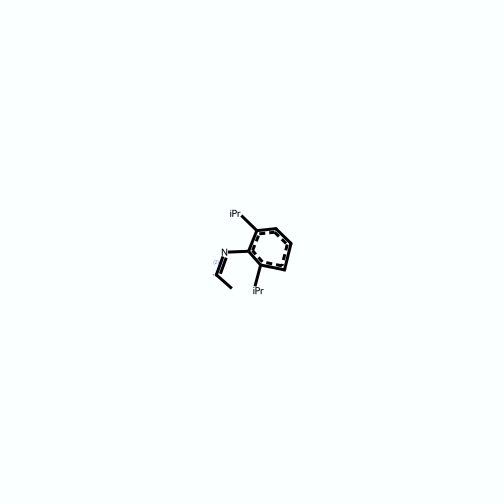 C/[C]=N\c1c(C(C)C)cccc1C(C)C